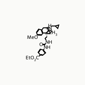 CCOC(=O)c1ccc(NC(=O)NCC[C@]23CCN(CC4CC4)[C@H](Cc4ccc(OC)cc42)[C@@H]3C)cc1